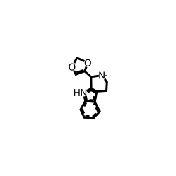 C1=C(C2[N]CCc3c2[nH]c2ccccc32)OCO1